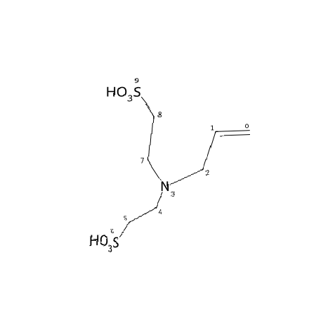 C=CCN(CCS(=O)(=O)O)CCS(=O)(=O)O